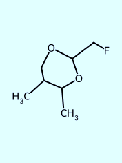 CC1COC(CF)OC1C